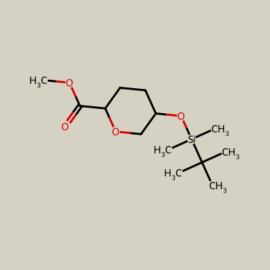 COC(=O)C1CCC(O[Si](C)(C)C(C)(C)C)CO1